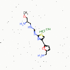 COCC(N)CNC=Nc1nc(-c2ccc(CN)o2)cs1.Cl.Cl